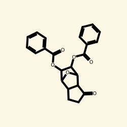 O=C(OC1C2OC(C1OC(=O)c1ccccc1)C1C(=O)CCC21)c1ccccc1